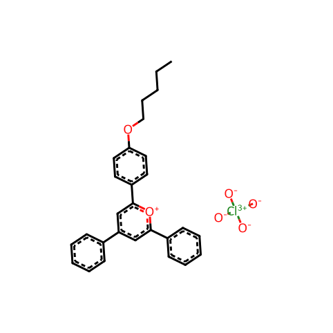 CCCCCOc1ccc(-c2cc(-c3ccccc3)cc(-c3ccccc3)[o+]2)cc1.[O-][Cl+3]([O-])([O-])[O-]